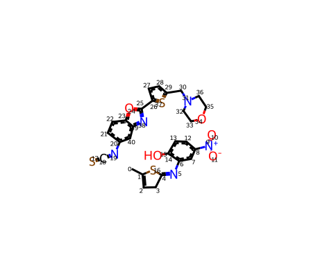 CC1=CCC(=Nc2cc([N+](=O)[O-])ccc2O)S1.S=C=Nc1ccc2oc(-c3ccc(CN4CCOCC4)s3)nc2c1